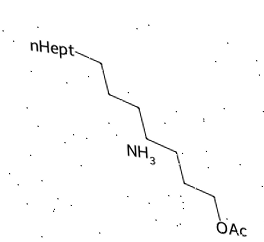 CCCCCCCCCCCCCCOC(C)=O.N